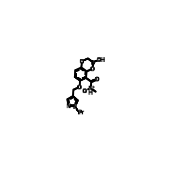 CC(C)n1cc(COc2ccc3c(c2C(=O)[NH+](C)[O-])OB(O)CO3)cn1